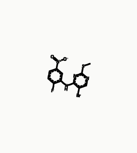 CSc1ncc(Br)c(Nc2cc([N+](=O)[O-])ccc2F)n1